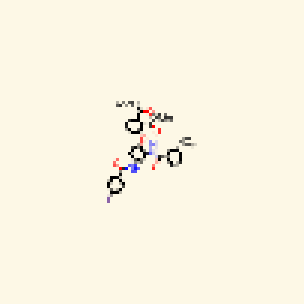 COC(=O)c1cccc(Oc2ccc(NC(=O)c3ccc(I)cc3)cc2NC(=O)c2cccc([N+](=O)[O-])c2)c1C(=O)OC